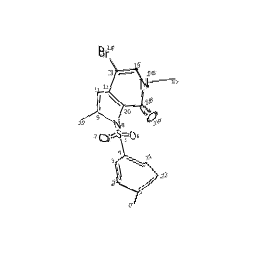 Cc1ccc(S(=O)(=O)n2c(C)cc3c(Br)cn(C)c(=O)c32)cc1